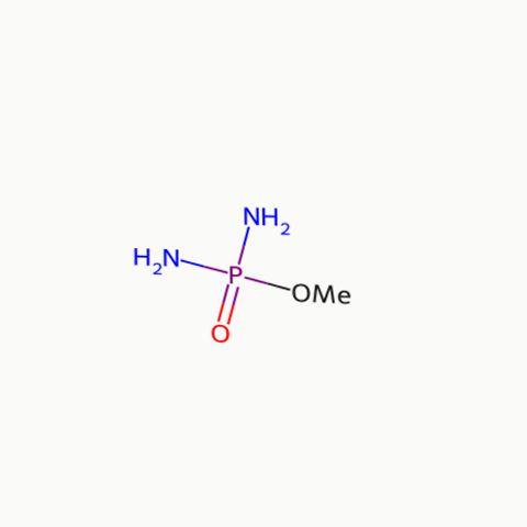 COP(N)(N)=O